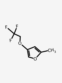 Cc1cc(OCC(F)(F)F)co1